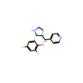 Fc1cc(F)c(O[C@@H](c2ccncc2)[C@H]2CCNC2)c(F)c1